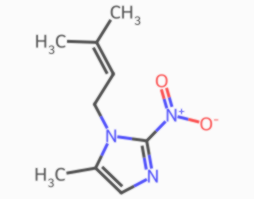 CC(C)=CCn1c(C)cnc1[N+](=O)[O-]